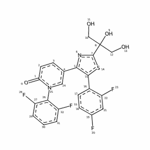 O=c1ccc(-c2nc(C(O)(CO)CO)sc2-c2ccc(F)cc2F)cn1-c1c(F)cccc1F